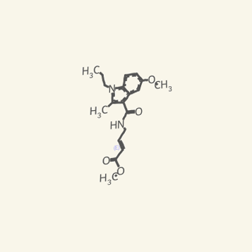 CCCn1c(C)c(C(=O)NC/C=C/C(=O)OC)c2cc(OC)ccc21